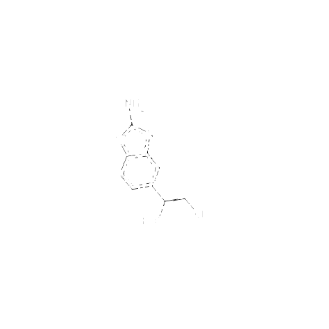 CCC(C)c1ccc2sc(N)nc2c1